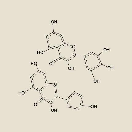 O=c1c(O)c(-c2cc(O)c(O)c(O)c2)oc2cc(O)cc(O)c12.O=c1c(O)c(-c2ccc(O)cc2)oc2cc(O)cc(O)c12